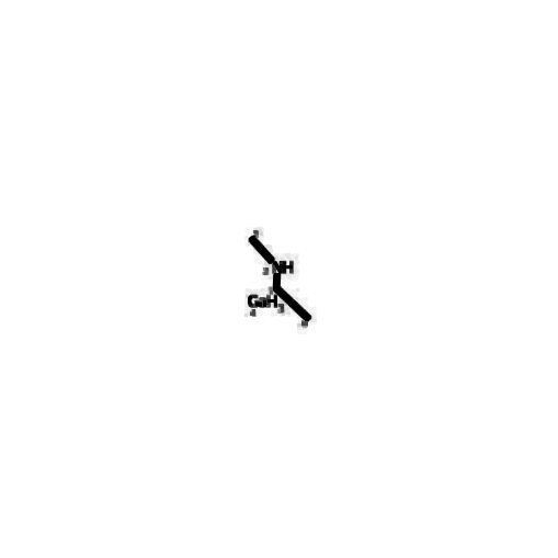 CCNC.[GaH3]